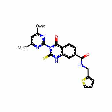 COc1cc(OC)nc(-n2c(=S)[nH]c3cc(C(=O)NCc4cccs4)ccc3c2=O)n1